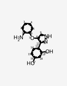 Nc1ccccc1Oc1c[nH]nc1-c1ccc(O)cc1O